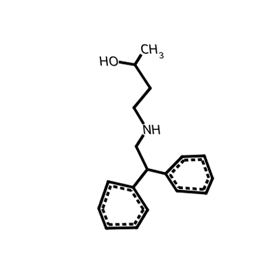 CC(O)CCNCC(c1ccccc1)c1ccccc1